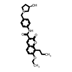 CCCc1c(OCC)ccc2cc(C(=O)Nc3ccc(CN4CC[C@@H](O)C4)cc3)c(=O)oc12